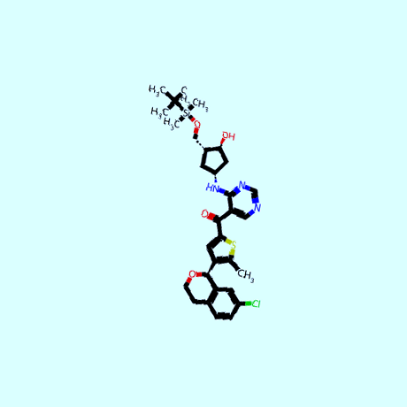 Cc1sc(C(=O)c2cncnc2N[C@@H]2C[C@H](CO[Si](C)(C)C(C)(C)C)[C@@H](O)C2)cc1[C@@H]1OCCc2ccc(Cl)cc21